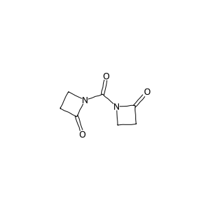 O=C1CCN1C(=O)N1CCC1=O